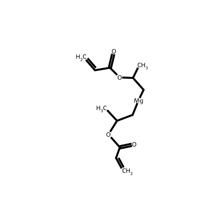 C=CC(=O)OC(C)[CH2][Mg][CH2]C(C)OC(=O)C=C